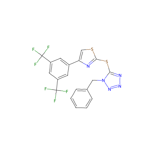 FC(F)(F)c1cc(-c2csc(Sc3nnnn3Cc3ccccc3)n2)cc(C(F)(F)F)c1